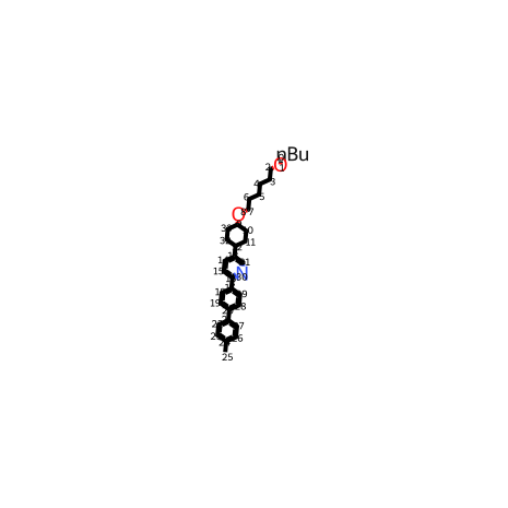 [CH2+][CH-]CCOCCCCCCOC1CCC(c2ccc(-c3ccc(-c4ccc(C)cc4)cc3)nc2)CC1